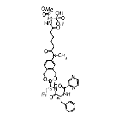 CO[PH](=O)C(NC(=O)CCCCC(=O)N(C)c1ccc2c(c1)COB([C@@H](CC(C)C)NC(=O)[C@@H](Cc1ccccc1)NC(=O)c1cnccn1)OC2)P(=O)(O)O